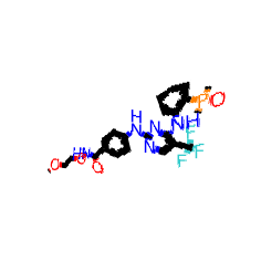 COCCONC(=O)c1ccc(Nc2ncc(C(F)(F)F)c(Nc3ccccc3P(C)(C)=O)n2)cc1